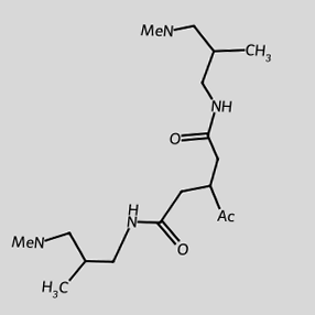 CNCC(C)CNC(=O)CC(CC(=O)NCC(C)CNC)C(C)=O